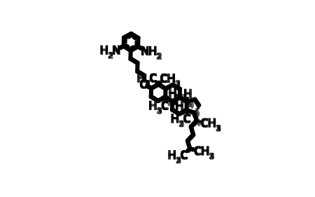 CC(C)CCC[C@@H](C)[C@H]1CC[C@H]2[C@@H]3CCC4C(C)(C)C(OCCCCc5c(N)cccc5N)CC[C@]4(C)[C@H]3CC[C@]12C